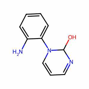 Nc1ccccc1N1C=CC=NC1O